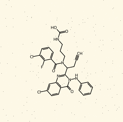 C#CCC(c1nc2cc(Cl)ccc2c(=O)n1Nc1ccccc1)N(CCCNC(=O)O)C(=O)c1cccc(Cl)c1F